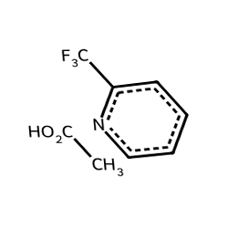 CC(=O)O.FC(F)(F)c1ccccn1